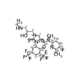 CNCC(O)Cn1ccn(-c2cc(C(F)(F)F)cc(C(F)(F)F)c2OC(=O)N(C)c2ccc(F)c(C)n2)c1=S